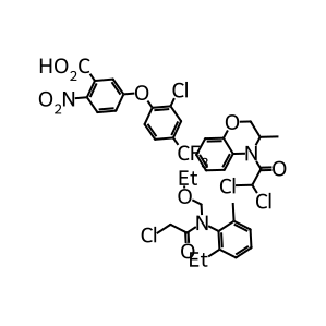 CC1COc2ccccc2N1C(=O)C(Cl)Cl.CCOCN(C(=O)CCl)c1c(C)cccc1CC.O=C(O)c1cc(Oc2ccc(C(F)(F)F)cc2Cl)ccc1[N+](=O)[O-]